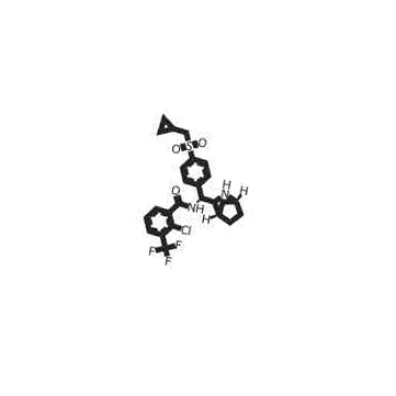 O=C(N[C@H](c1ccc(S(=O)(=O)CC2CC2)cc1)C1N[C@@H]2CC[C@H]1C2)c1cccc(C(F)(F)F)c1Cl